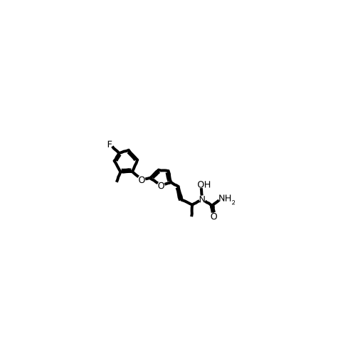 Cc1cc(F)ccc1Oc1ccc(C=CC(C)N(O)C(N)=O)o1